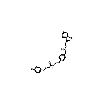 O=C(COCc1ccc(F)cc1)NCCc1ccc(CNCCc2c[nH]c3ccccc23)cc1